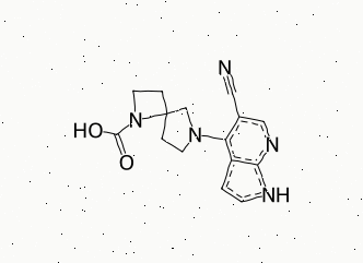 N#Cc1cnc2[nH]ccc2c1N1CCC2(CCN2C(=O)O)C1